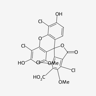 COc1cc(O)c(Cl)c2c1C1(OC(=O)c3c(Cl)c(OC)c(C(=O)O)c(Cl)c31)c1ccc(O)c(Cl)c1O2